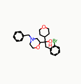 OC(Cc1ccccc1Br)(C1CCOCC1)C1CN(Cc2ccccc2)CCO1